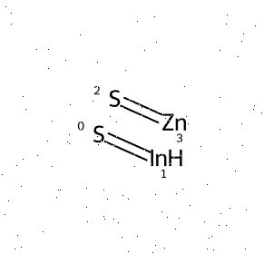 [S]=[InH].[S]=[Zn]